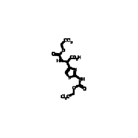 O=C(Nc1nc(C(NC(=O)OCC(Cl)(Cl)Cl)C(=O)O)cs1)OCC(Cl)(Cl)Cl